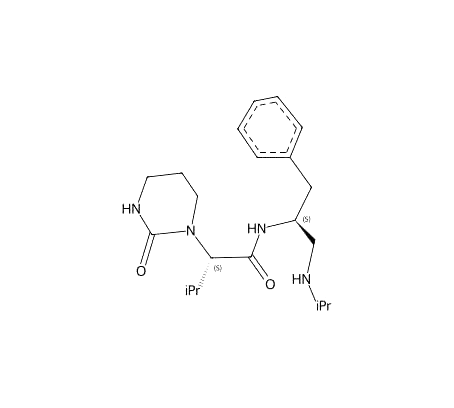 CC(C)NC[C@H](Cc1ccccc1)NC(=O)[C@H](C(C)C)N1CCCNC1=O